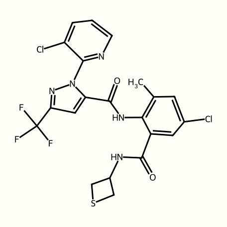 Cc1cc(Cl)cc(C(=O)NC2CSC2)c1NC(=O)c1cc(C(F)(F)F)nn1-c1ncccc1Cl